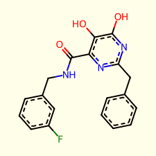 O=C(NCc1cccc(F)c1)c1nc(Cc2ccccc2)nc(O)c1O